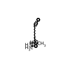 CC(C)c1cccc(C(C)C)c1NC(=O)CSCCCCCCCCCN1CCN(c2ccccc2)CC1